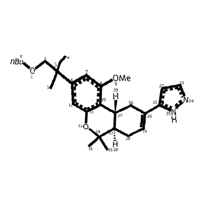 CCCCOCC(C)(C)c1cc(OC)c2c(c1)OC(C)(C)[C@@H]1CC=C(c3ccn[nH]3)C[C@@H]21